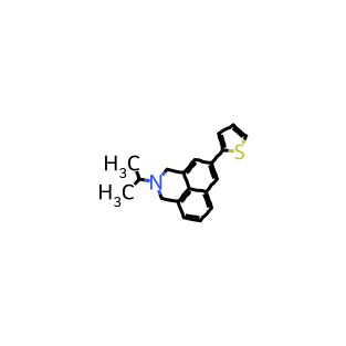 CC(C)N1Cc2cccc3cc(-c4cccs4)cc(c23)C1